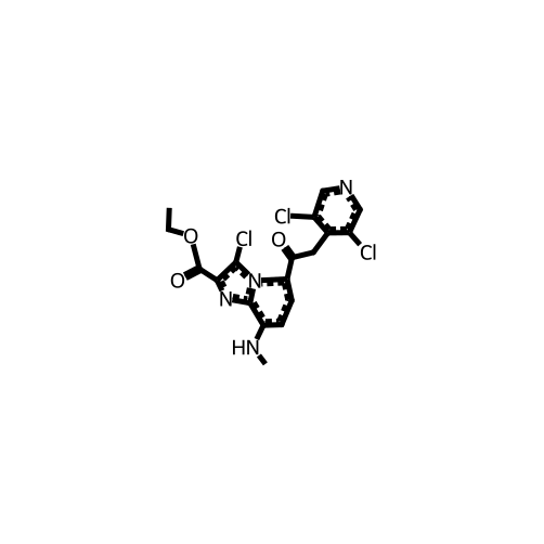 CCOC(=O)c1nc2c(NC)ccc(C(=O)Cc3c(Cl)cncc3Cl)n2c1Cl